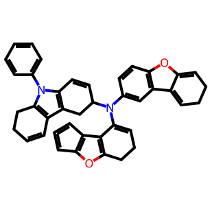 C1=Cc2oc3c(c2C=1)C(N(c1ccc2oc4c(c2c1)=CCCC=4)C1C=Cc2c(c4c(n2-c2ccccc2)CCC=C4)C1)=CCC3